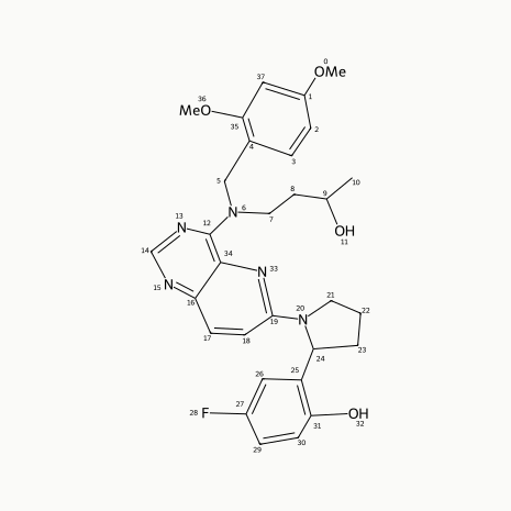 COc1ccc(CN(CCC(C)O)c2ncnc3ccc(N4CCCC4c4cc(F)ccc4O)nc23)c(OC)c1